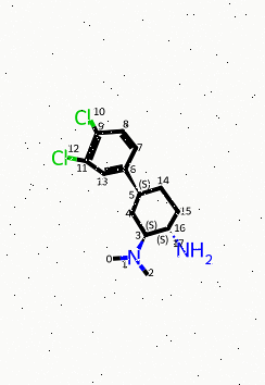 CN(C)[C@H]1C[C@@H](c2ccc(Cl)c(Cl)c2)CC[C@@H]1N